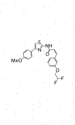 COc1ccc(-c2csc(NC(=O)/C=C\c3cccc(OCC(F)F)c3)n2)cc1